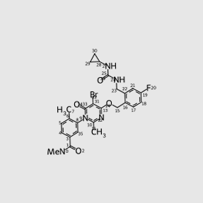 CNC(=O)c1ccc(C)c(-n2c(C)nc(OCc3ccc(F)cc3CNC(=O)NC3CC3)c(Br)c2=O)c1